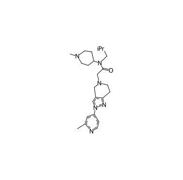 Cc1cc(-n2cc3c(n2)CCN(CC(=O)N(CC(C)C)C2CCN(C)CC2)C3)ccn1